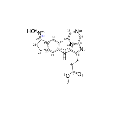 COC(=O)CCc1nc2cnccn2c1Nc1ccc2c(c1)CC/C2=N\O